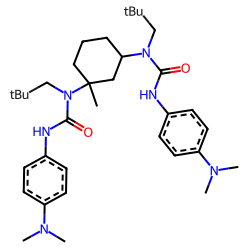 CN(C)c1ccc(NC(=O)N(CC(C)(C)C)C2CCCC(C)(N(CC(C)(C)C)C(=O)Nc3ccc(N(C)C)cc3)C2)cc1